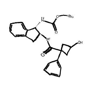 CC(C)(C)OC(=O)N[C@H]1c2ccccc2C[C@@H]1NC(=O)C1(c2ccccc2)CC(O)C1